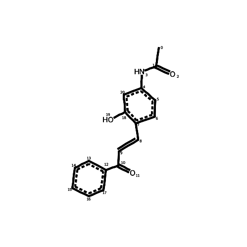 CC(=O)Nc1ccc(/C=C/C(=O)c2ccccc2)c(O)c1